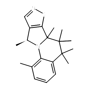 Cc1cccc2c1N1[C@@H](C)c3cnsc3C1(C)C(C)(C)C2(C)C